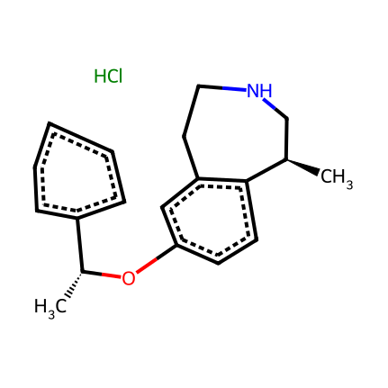 C[C@@H]1CNCCc2cc(O[C@H](C)c3ccccc3)ccc21.Cl